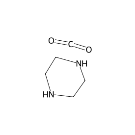 C1CNCCN1.O=C=O